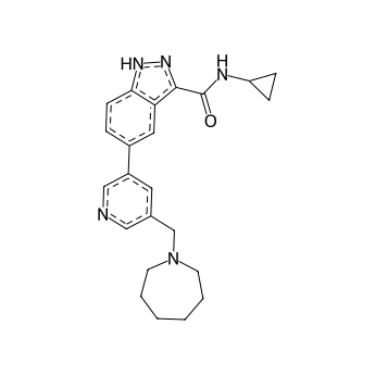 O=C(NC1CC1)c1n[nH]c2ccc(-c3cncc(CN4CCCCCC4)c3)cc12